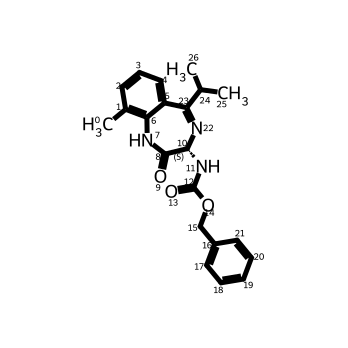 Cc1cccc2c1NC(=O)[C@@H](NC(=O)OCc1ccccc1)N=C2C(C)C